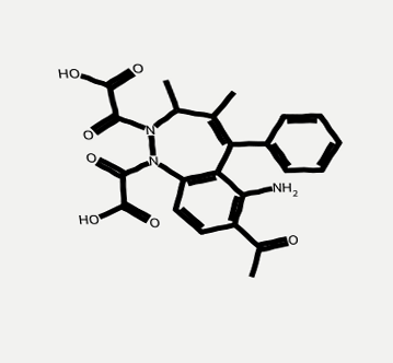 CC(=O)c1ccc2c(c1N)C(c1ccccc1)=C(C)C(C)N(C(=O)C(=O)O)N2C(=O)C(=O)O